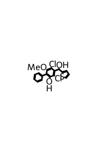 COc1c(Cl)c(C(O)c2cccs2)c(Cl)c(O)c1-c1ccccc1